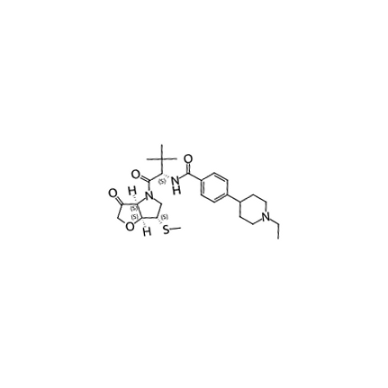 CCN1CCC(c2ccc(C(=O)N[C@H](C(=O)N3C[C@H](SC)[C@H]4OCC(=O)[C@H]43)C(C)(C)C)cc2)CC1